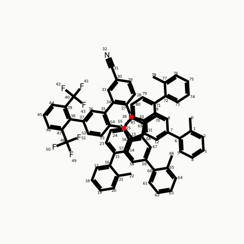 Cc1ccccc1-c1ccc2c(c1)c1cc(-c3ccccc3C)ccc1n2-c1ccc(C#N)cc1-c1cc(-c2c(C(F)(F)F)cccc2C(F)(F)F)ccc1-n1c2ccc(-c3ccccc3C)cc2c2cc(-c3ccccc3C)ccc21